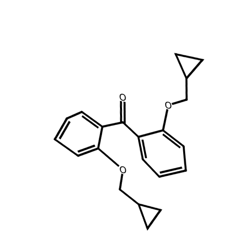 O=C(c1ccccc1OCC1CC1)c1ccccc1OCC1CC1